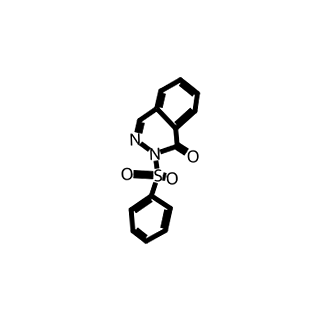 O=c1c2ccccc2cnn1S(=O)(=O)c1ccccc1